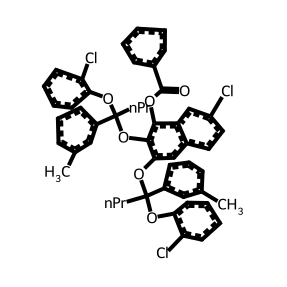 CCCC(Oc1ccccc1Cl)(Oc1cc2ccc(Cl)cc2c(OC(=O)c2ccccc2)c1OC(CCC)(Oc1ccccc1Cl)c1cccc(C)c1)c1cccc(C)c1